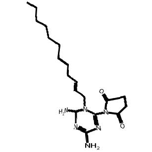 CCCCCCCCCC=CCN1C(N2C(=O)CCC2=O)=NC(N)=NC1N